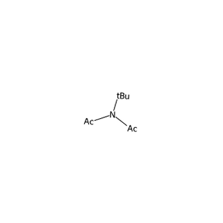 CC(=O)N(C(C)=O)C(C)(C)C